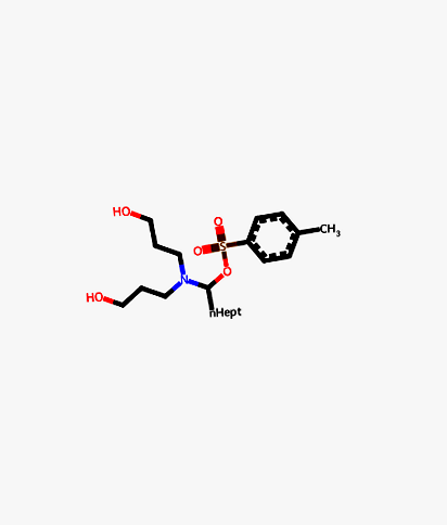 CCCCCCCC(OS(=O)(=O)c1ccc(C)cc1)N(CCCO)CCCO